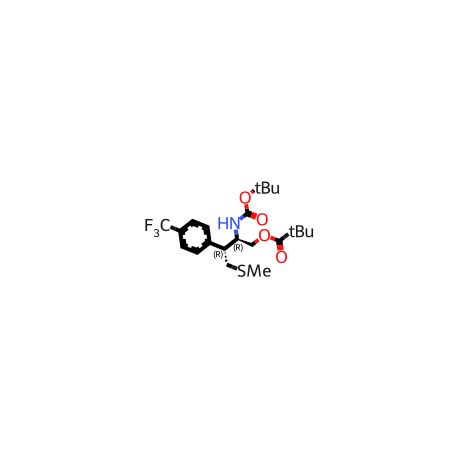 CSC[C@H](c1ccc(C(F)(F)F)cc1)[C@H](COC(=O)C(C)(C)C)NC(=O)OC(C)(C)C